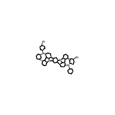 CC(C)c1ccc(N(c2ccccc2)c2ccc3c4cc5c(cc4n4c6cccc(F)c6c2c34)c2ccc(N(c3ccccc3)c3ccc(C(C)C)cc3)c3c4c(F)cccc4n5c23)cc1